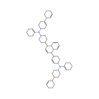 C1=CC2C(C3C=CC(N(C4=CCCCC4)C4CCC(C5C=CCCC5)CC4)CC3)C=CC(C3CCC(N(C4=CCCCC4)C4CC=C(C5C=CCCC5)CC4)CC3)C2C=C1